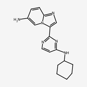 Nc1ccc2ncc(-c3nccc(NC4CCCCC4)n3)n2c1